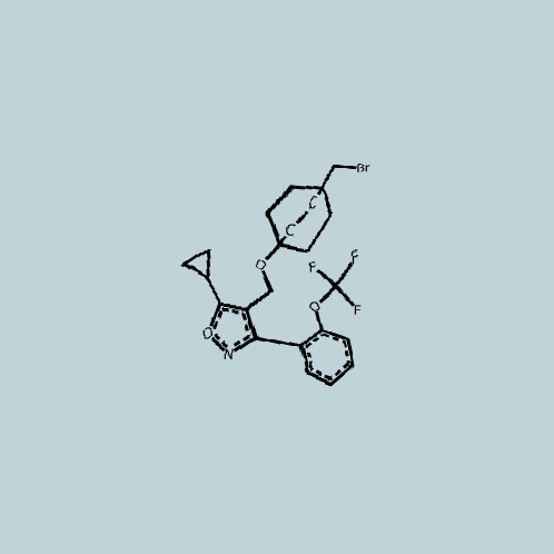 FC(F)(F)Oc1ccccc1-c1noc(C2CC2)c1COC12CCC(CBr)(CC1)CC2